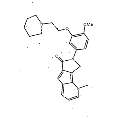 COc1ccc(N2Cc3c(cc4cccn(C)c3-4)C2=O)cc1OCCN1CCCCC1